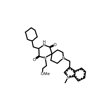 COCCN1C(=O)C(CC2CCCCC2)NC(=O)C12CCN(Cc1cn(C)c3ccccc13)CC2